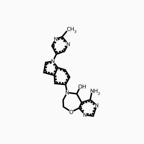 Cc1ncc(-n2ccc3cc(N4CCOc5ncnc(N)c5C4O)ccc32)cn1